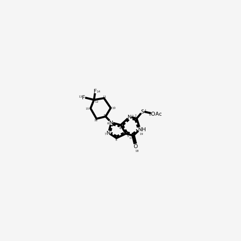 CC(=O)OSc1nc2c(cnn2C2CCC(F)(F)CC2)c(=O)[nH]1